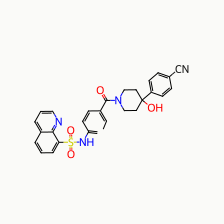 C=C(/C=C\C(=C/C)C(=O)N1CCC(O)(c2ccc(C#N)cc2)CC1)NS(=O)(=O)c1cccc2cccnc12